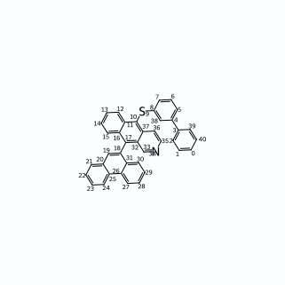 c1ccc(-c2cccc(Sc3c4ccccc4c(-c4cc5ccccc5c5ccccc45)c4cnccc34)c2)cc1